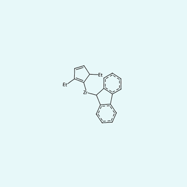 CCC1=[C]([Zr][CH]2c3ccccc3-c3ccccc32)C(CC)C=C1